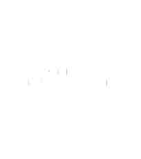 C=CCC(CCCCCCCCC)C(=O)O